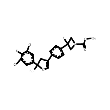 CC(C)(C)OC(=O)N1CC(F)(c2ccc(C3=COC(c4cc(Cl)c(F)c(Cl)c4)(C(F)(F)F)C3)cc2)C1